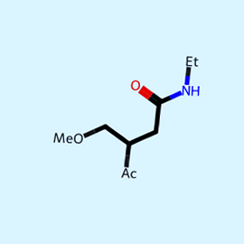 CCNC(=O)CC(COC)C(C)=O